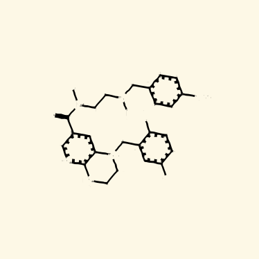 CCN(CCN(C)C(=O)c1cnc2c(c1)N(Cc1cc(Cl)ccc1Cl)CCN2)Cc1ccc(OC)cc1